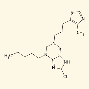 CCCCCN1CN(CCCc2scnc2C)C=C2NC(Cl)N=C21